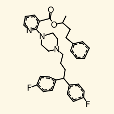 CC(CCc1ccccc1)OC(=O)c1cccnc1N1CCN(CCCC(c2ccc(F)cc2)c2ccc(F)cc2)CC1